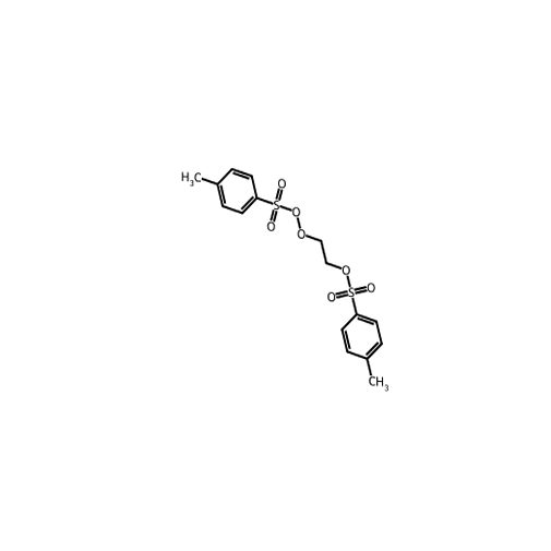 Cc1ccc(S(=O)(=O)OCCOOS(=O)(=O)c2ccc(C)cc2)cc1